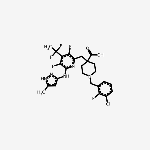 Cc1cc(Nc2nc(CC3(C(=O)O)CCN(Cc4cccc(Cl)c4F)CC3)c(F)c(C(C)(F)F)c2F)n[nH]1